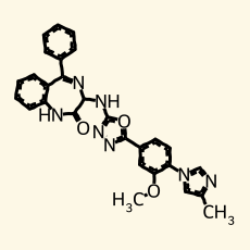 COc1cc(-c2nnc(NC3N=C(c4ccccc4)c4ccccc4NC3=O)o2)ccc1-n1cnc(C)c1